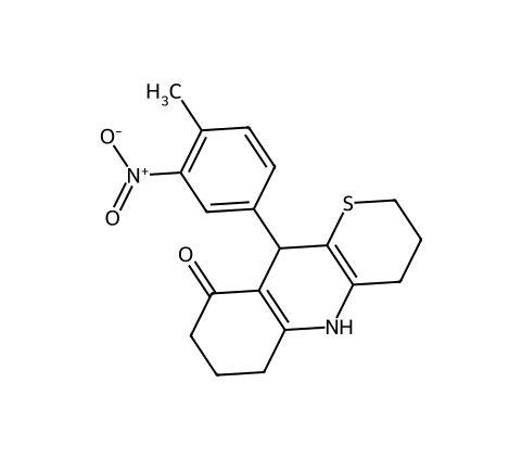 Cc1ccc(C2C3=C(CCCS3)NC3=C2C(=O)CCC3)cc1[N+](=O)[O-]